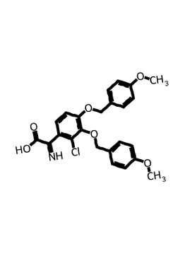 COc1ccc(COc2ccc(C(=N)C(=O)O)c(Cl)c2OCc2ccc(OC)cc2)cc1